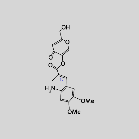 COc1cc(N)c(/C=C(\C)C(=O)Oc2coc(CO)cc2=O)cc1OC